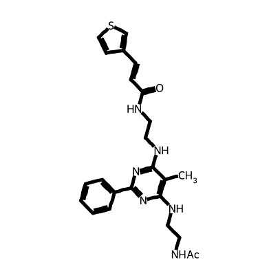 CC(=O)NCCNc1nc(-c2ccccc2)nc(NCCNC(=O)/C=C/c2ccsc2)c1C